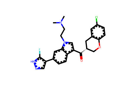 CN(C)CCn1cc(C(=O)[C@H]2COc3ccc(Cl)cc3C2)c2ccc(-c3cn[nH]c3F)cc21